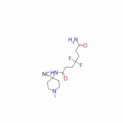 CN1CCC(C#N)(NC(=O)[CH]CC(F)(F)CCC(N)=O)CC1